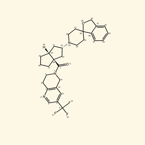 O=C(N1CCc2ncc(C(F)(F)F)cc2C1)[C@@]12CCC[C@@H]1C[C@H](N1CCC3(CC1)OCc1ccccc13)C2